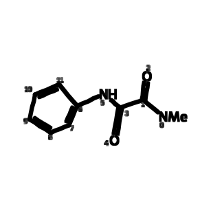 CNC(=O)C(=O)Nc1ccccc1